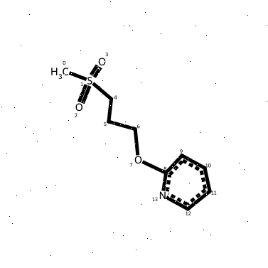 CS(=O)(=O)CCCOc1ccccn1